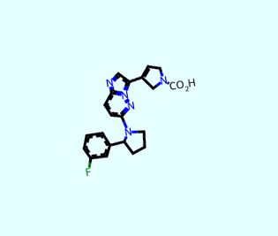 O=C(O)N1CC=C(c2cnc3ccc(N4CCCC4c4cccc(F)c4)nn23)C1